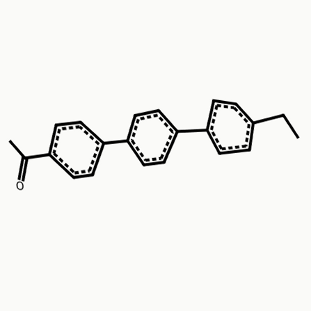 CCc1ccc(-c2ccc(-c3ccc(C(C)=O)cc3)cc2)cc1